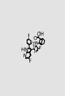 O=C(O)C1C2CCC(CC2)C1Nc1nc(-c2c(-c3ccc(F)cc3)[nH]c3ncc(F)cc23)ncc1F